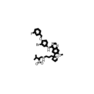 COc1cc2ncnc(Nc3ccc(OCc4cccc(F)c4)c(Br)c3)c2cc1C1(CCCNCC(C(C)C)=S(=O)=O)CC=CO1